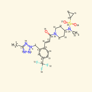 Cc1nnn(Cc2cc(C(F)(F)F)ccc2C=CC(=O)N2CCC(N(C)S(=O)(=O)C3CC3)CC2)n1